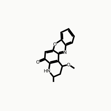 COC1CC(C)Nc2c1c1nc3ccccc3oc-1cc2=O